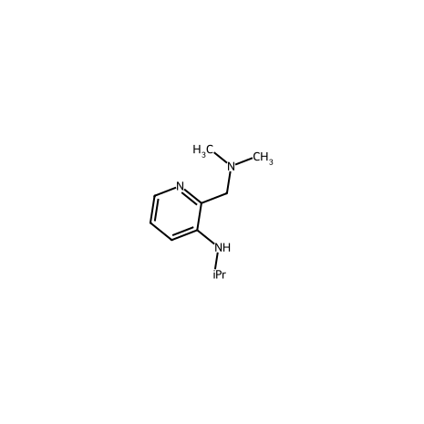 CC(C)Nc1cccnc1CN(C)C